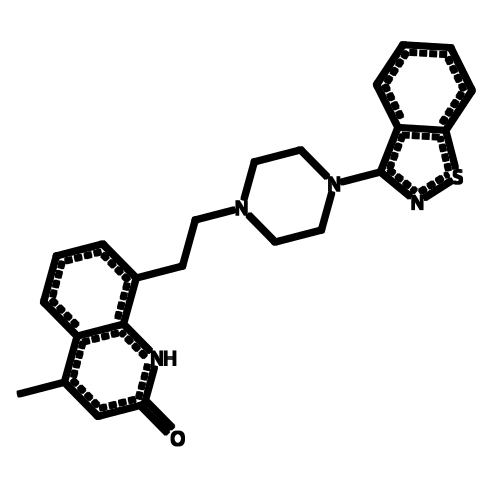 Cc1cc(=O)[nH]c2c(CCN3CCN(c4nsc5ccccc45)CC3)cccc12